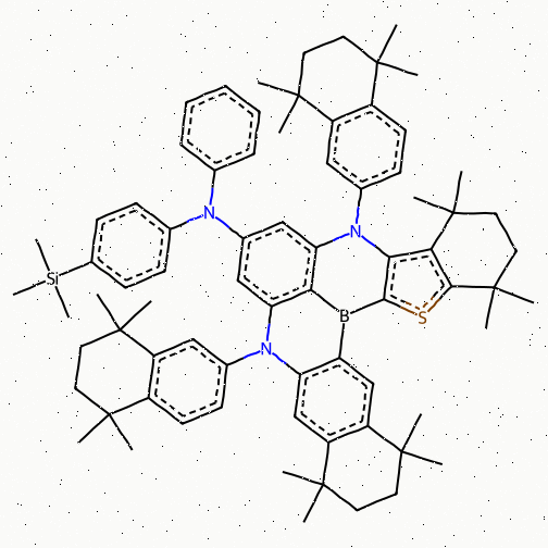 CC1(C)CCC(C)(C)c2cc(N3c4cc5c(cc4B4c6sc7c(c6N(c6ccc8c(c6)C(C)(C)CCC8(C)C)c6cc(N(c8ccccc8)c8ccc([Si](C)(C)C)cc8)cc3c64)C(C)(C)CCC7(C)C)C(C)(C)CCC5(C)C)ccc21